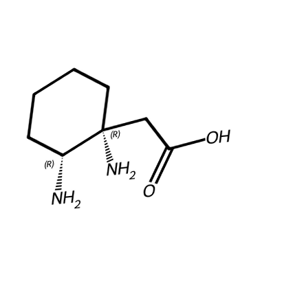 N[C@@H]1CCCC[C@@]1(N)CC(=O)O